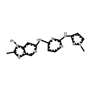 Cc1nc2cnc(Nc3ccnc(Nc4ccn(C)n4)n3)cc2n1C(C)C